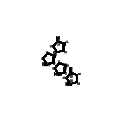 C1=NCCN1.C1=NCCN1.C1=NNCC1.C1CNCN1